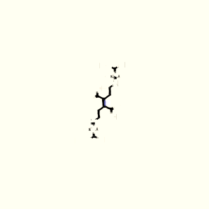 CC(C)S(=O)(=O)NCC/C(C(=O)O)=C(/CCNS(=O)(=O)C(C)C)C(=O)O